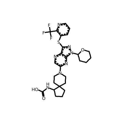 O=C(O)NC1CCCC12CCN(c1cnc3c(Sc4cccnc4C(F)(F)F)nn(C4CCCCO4)c3n1)CC2